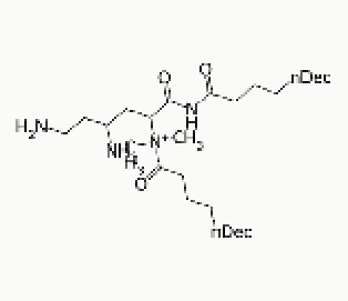 CCCCCCCCCCCCCC(=O)NC(=O)C(CC(N)CCN)[N+](C)(C)C(=O)CCCCCCCCCCCCC